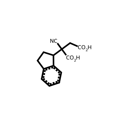 N#CC(CC(=O)O)(C(=O)O)C1CCc2ccccc21